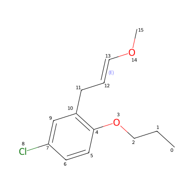 CCCOc1ccc(Cl)cc1C/C=C/OC